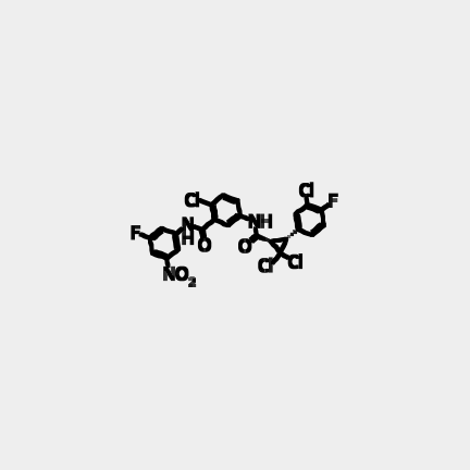 O=C(Nc1cc(F)cc([N+](=O)[O-])c1)c1cc(NC(=O)[C@H]2[C@H](c3ccc(F)c(Cl)c3)C2(Cl)Cl)ccc1Cl